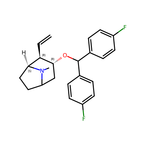 C=C[C@H]1[C@H](OC(c2ccc(F)cc2)c2ccc(F)cc2)CC2CC[C@@H]1N2C